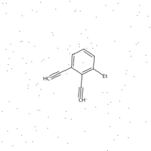 C#Cc1cccc(CC)c1C#C